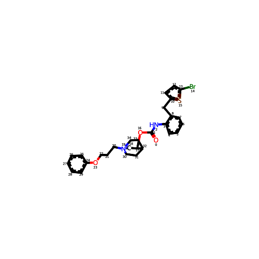 O=C(Nc1ccccc1Cc1ccc(Br)s1)OC1C[N+]2(CCCOc3ccccc3)CCC1CC2